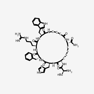 CCCC[C@H](N)C(=O)N[C@H]1CSSC[C@@H](C(N)=O)NC(=O)CCCNC(=O)[C@H](Cc2c[nH]c3ccccc23)NC(=O)[C@H](CCCNC(=N)N)NC(=O)[C@@H](Cc2ccccc2)NC(=O)[C@H](Cc2c[nH]cn2)NC1=O